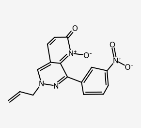 C=CCn1cc2ccc(=O)[n+]([O-])c-2c(-c2cccc([N+](=O)[O-])c2)n1